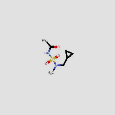 CC(C)C(=O)NS(=O)(=O)N(C)CC1CC1